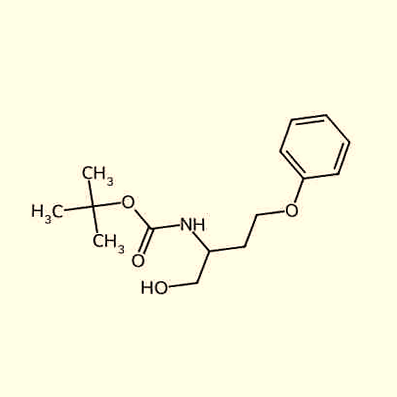 CC(C)(C)OC(=O)NC(CO)CCOc1ccccc1